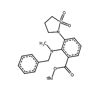 CN(Cc1ccccc1)c1c(C(=O)OC(C)(C)C)cccc1N1CCCS1(=O)=O